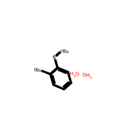 CCCC[B]c1ccccc1C(C)(C)C.O.O